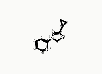 [CH]1SC(C2CC2)=NN1c1ccccn1